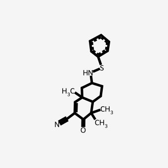 CC12C=C(C#N)C(=O)C(C)(C)C1CCC(NSc1ccccc1)C2